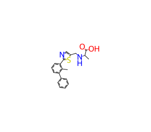 Cc1c(-c2ccccc2)cccc1-c1ncc(CNC(C)C(=O)O)s1